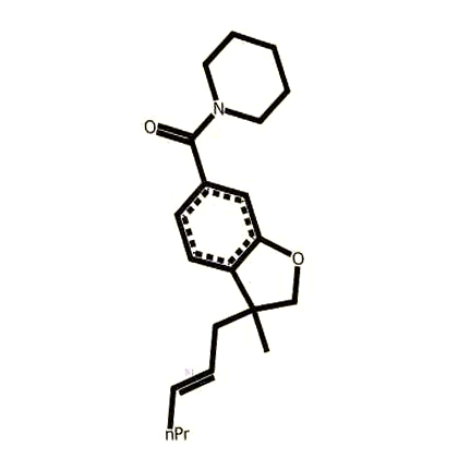 CCC/C=C/CC1(C)COc2cc(C(=O)N3CCCCC3)ccc21